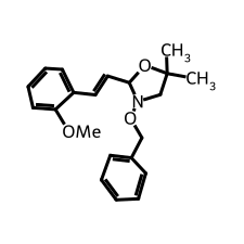 COc1ccccc1C=CC1OC(C)(C)CN1OCc1ccccc1